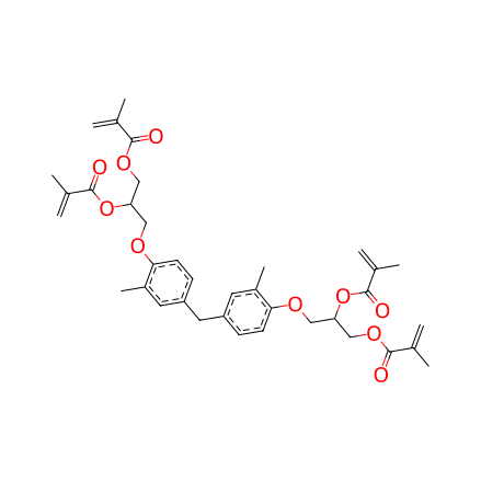 C=C(C)C(=O)OCC(COc1ccc(Cc2ccc(OCC(COC(=O)C(=C)C)OC(=O)C(=C)C)c(C)c2)cc1C)OC(=O)C(=C)C